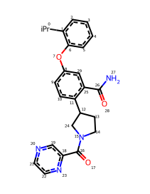 CC(C)c1ccccc1Oc1ccc(C2CCN(C(=O)c3cnccn3)C2)c(C(N)=O)c1